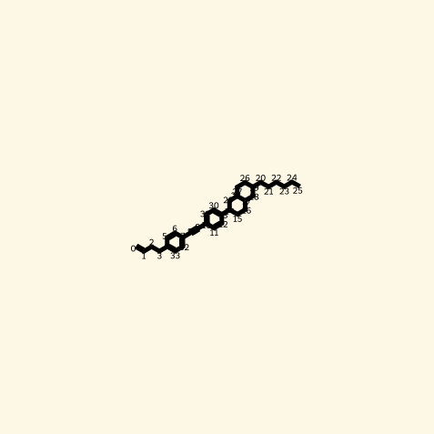 C=CCCc1ccc(C#Cc2ccc(C3CCC4CC(CCCCCC)CCC4C3)cc2)cc1